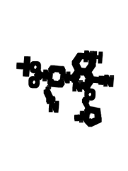 CN1CCC[C@@H]1COc1nc(N2CCN(C(=O)OC(C)(C)C)[C@@H](CC#N)C2)c2c(c1C#N)CNCC2